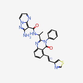 CC(NC(=O)c1c(N)nn2cccnc12)c1nc2cccc(/C=C/c3cscn3)c2c(=O)n1-c1ccccc1